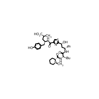 CC[C@H](C)[C@H](NC(=O)[C@H]1CCCCN1C)C(=O)N[C@H](C[C@@H](O)c1nc(C(=O)N[C@@H](Cc2ccc(O)cc2)C[C@H](C)C(=O)O)cs1)C(C)C